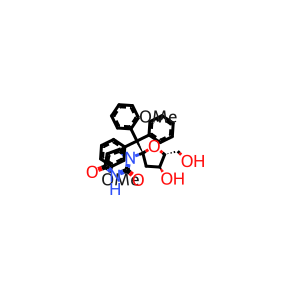 COc1cccc(C(c2ccccc2)(c2ccccc2OC)[C@]2(n3ccc(=O)[nH]c3=O)C[C@H](O)[C@@H](CO)O2)c1